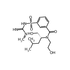 C=NC(=N)NS(=O)(=O)c1cccc(C(=O)N(CCO)[C@@H](CO)CC(C)C)c1